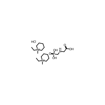 CC[N+]1(C)CCCCC1.CC[N+]1(C)CCCCC1.Cl.O=C(O)CNCP(=O)(O)O